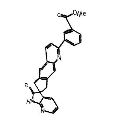 COC(=O)c1cccc(-c2ccc3cc4c(cc3n2)CC2(C4)C(=O)Nc3ncccc32)c1